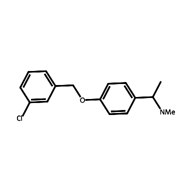 CNC(C)c1ccc(OCc2cccc(Cl)c2)cc1